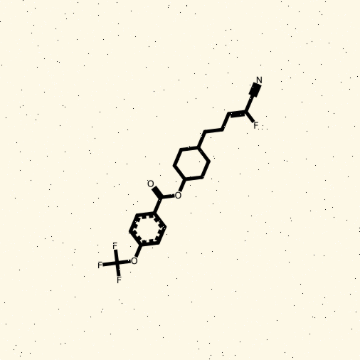 N#CC(F)=CCCC1CCC(OC(=O)c2ccc(OC(F)(F)F)cc2)CC1